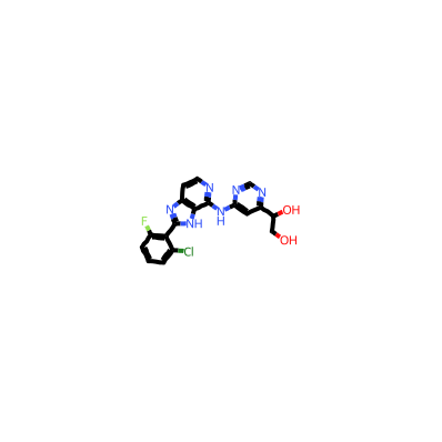 OCC(O)c1cc(Nc2nccc3nc(-c4c(F)cccc4Cl)[nH]c23)ncn1